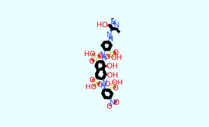 Cc1nn(C)c(O)c1/N=N/c1ccc(/N=N/c2c(S(=O)(=O)O)cc3cc(S(=O)(=O)O)c(/N=N/c4ccc([N+](=O)[O-])cc4S(=O)(=O)O)c(O)c3c2O)c(S(=O)(=O)O)c1